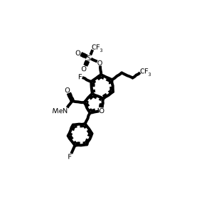 CNC(=O)c1c(-c2ccc(F)cc2)oc2cc(CCC(F)(F)F)c(OS(=O)(=O)C(F)(F)F)c(F)c12